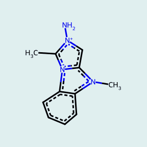 Cc1n2c3ccccc3n(C)c2c[n+]1N